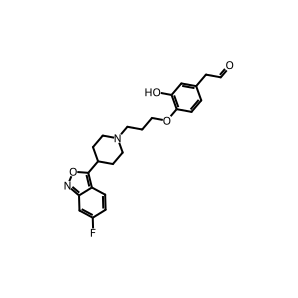 O=CCc1ccc(OCCCN2CCC(c3onc4cc(F)ccc34)CC2)c(O)c1